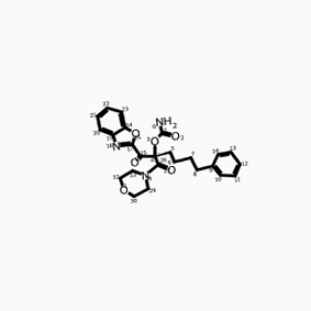 NC(=O)O[C@@](CCCCc1ccccc1)(C(=O)c1nc2ccccc2o1)C(=O)N1CCOCC1